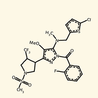 COc1c(C2CN(S(C)(=O)=O)CC2C(F)(F)F)nn(C(=O)c2ccccc2F)c1N(C)Cc1ccc(Cl)s1